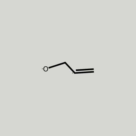 C=[C]C[O]